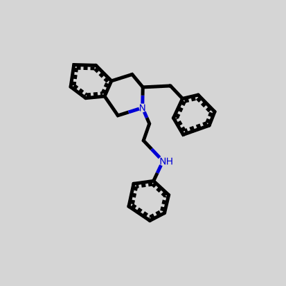 c1ccc(CC2Cc3ccccc3CN2CCNc2ccccc2)cc1